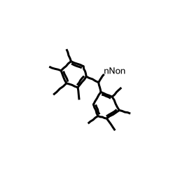 CCCCCCCCCC(c1cc(C)c(C)c(C)c1C)c1cc(C)c(C)c(C)c1C